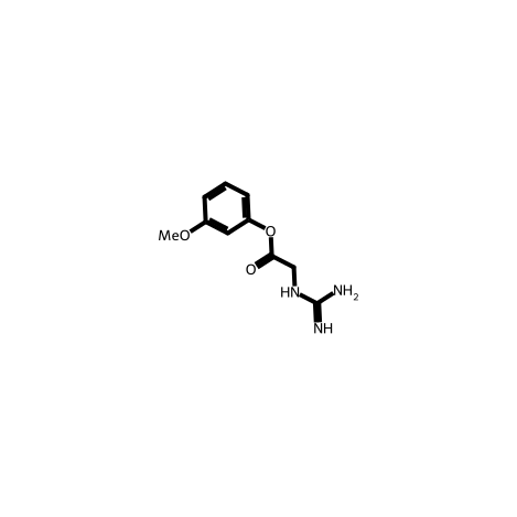 COc1cccc(OC(=O)CNC(=N)N)c1